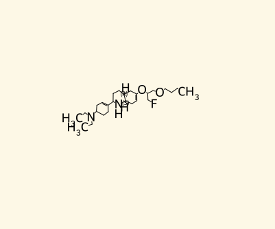 CCCCOCC(CF)OC1=CC[C@@H]2NC(C3=CCC(N(CC)CC)CC3)CC[C@@H]2C1